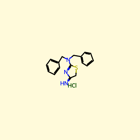 Cl.N=C1CSC(N(Cc2ccccc2)Cc2ccccc2)=N1